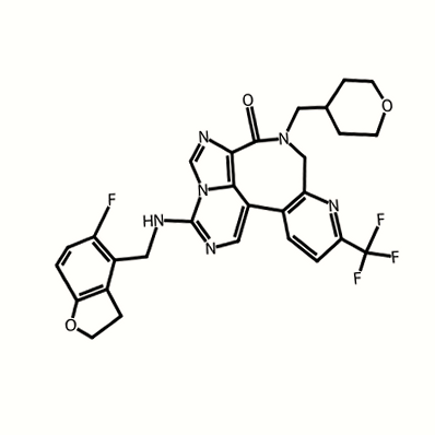 O=C1c2ncn3c(NCc4c(F)ccc5c4CCO5)ncc(c23)-c2ccc(C(F)(F)F)nc2CN1CC1CCOCC1